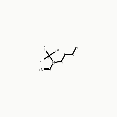 CCCCN(C=O)C(F)(F)F